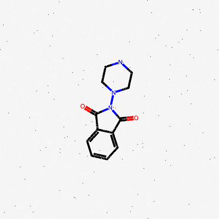 O=C1c2ccccc2C(=O)N1N1CC[N]CC1